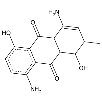 CC1C=C(N)C2C(=O)c3c(O)ccc(N)c3C(=O)C2C1O